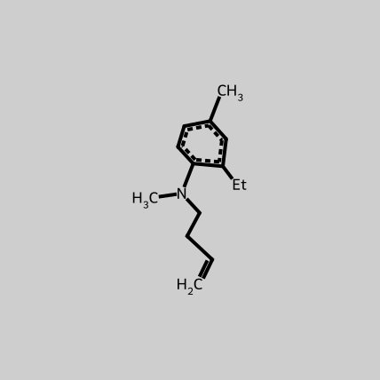 C=CCCN(C)c1ccc(C)cc1CC